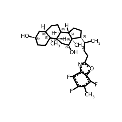 Cc1c(F)c(F)c2nc(CCC(C)[C@H]3CC[C@H]4[C@@H]5CC[C@@H]6C[C@H](O)CC[C@]6(C)[C@H]5C[C@H](O)[C@]34C)oc2c1F